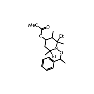 CCC1(C)CC(OC(=O)OC)C(C)C(C)(CC)N1OC(C)c1ccccc1